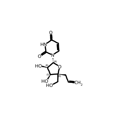 C=CC[C@]1(CO)O[C@@H](n2ccc(=O)[nH]c2=O)[C@H](O)[C@@H]1O